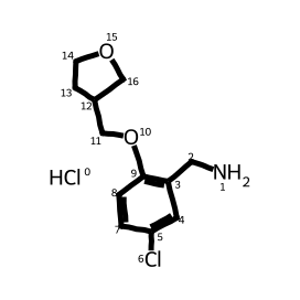 Cl.NCc1cc(Cl)ccc1OCC1CCOC1